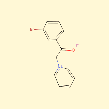 O=C(C[n+]1ccccc1)c1cccc(Br)c1.[I-]